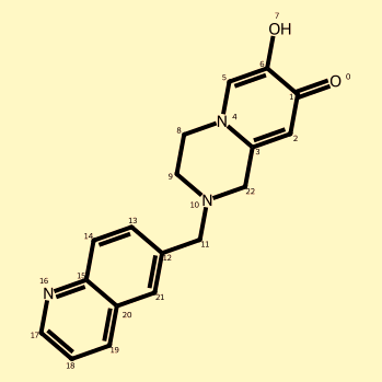 O=c1cc2n(cc1O)CCN(Cc1ccc3ncccc3c1)C2